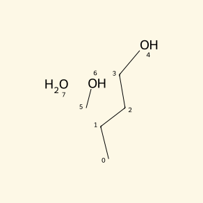 CCCCO.CO.O